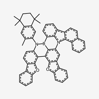 Cc1cc2c(cc1N1B3c4c(cc5c(oc6ccccc65)c4-c4c1ccc1c4oc4ccccc41)-n1c4c3cccc4c3ccc4ccccc4c31)C(C)(C)CCC2(C)C